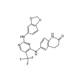 O=C1CCc2cc(Nc3nc(Nc4ccc5c(c4)OCO5)ncc3C(F)(F)F)ccc2N1